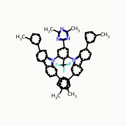 Cc1cccc(-c2ccc3c4ccc(-c5cccc(C)c5)cc4n(-c4cc(-c5nc(C)nc(C)n5)cc(-n5c6cc(-c7cccc(C)c7)ccc6c6ccc(-c7cccc(C)c7)cc65)c4C(F)(F)F)c3c2)c1